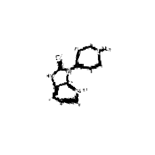 CCN1CCC(n2c(=O)[nH]c3cccnc32)CC1